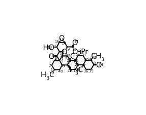 CC1CCC2(C(=O)C3OC(C(=O)OC(C)C)C4OC4C3O)CCC3C(=CCC4C3(C)CCC3C(C)C(=O)CCC34C)C2C1